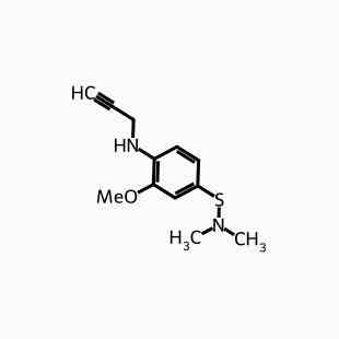 C#CCNc1ccc(SN(C)C)cc1OC